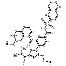 CCCCN(CCCC)C(=O)c1cn(CCO)c(-c2ccc(C(=O)NS(=O)(=O)c3ccc4ccccc4c3)cc2C(=O)c2cccc3c2CC(CO)NC3)n1